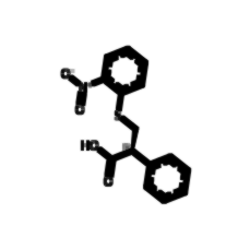 O=C(O)[C@@H](CSc1ccccc1[N+](=O)[O-])c1ccccc1